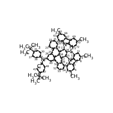 Cc1ccc2c(c1)c1cc(C)cc3c1n2-c1c2c(c4c5ccccc5c5cc(N(c6ccc(C(C)(C)C)cc6)c6ccc(C(C)(C)C)cc6)cc6c7ccccc7c1c4c65)-n1c4ccc(C)cc4c4cc(C)cc(c41)[SH]23